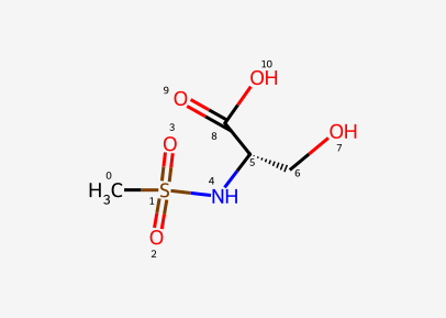 CS(=O)(=O)N[C@@H](CO)C(=O)O